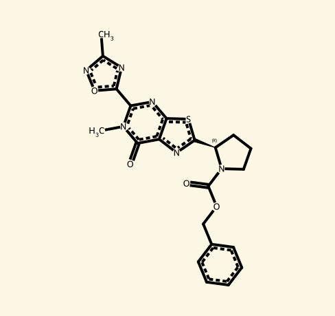 Cc1noc(-c2nc3sc([C@H]4CCCN4C(=O)OCc4ccccc4)nc3c(=O)n2C)n1